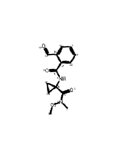 CON(C)C(=O)C1(NC(=O)c2ccccc2C=O)CC1